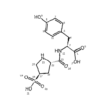 O=C(O)[C@H](Cc1ccc(O)cc1)NC(=O)[C@@H]1C[C@@H](S(=O)(=O)O)CN1